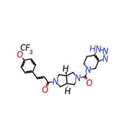 O=C(C=Cc1ccc(OC(F)(F)F)cc1)N1C[C@@H]2CN(C(=O)N3CCc4[nH]nnc4C3)C[C@H]2C1